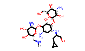 CCNC[C@H]1O[C@H](OC2[C@@H](N)C[C@@H](NC(CO)CC3CC3)[C@H](O[C@H]3O[C@H](CO)[C@@H](O)[C@H](N)[C@H]3O)[C@H]2O)[C@H](N)[C@@H](O)[C@@H]1O